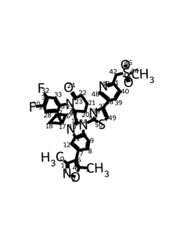 Cc1noc(C)c1-c1ccc2c(c1)nc([C@]1(C3C4CC43)CCCC(=O)N1c1ccc(F)c(F)c1)n2-c1nc(-c2ccc(CS(C)(=O)=O)nc2)cs1